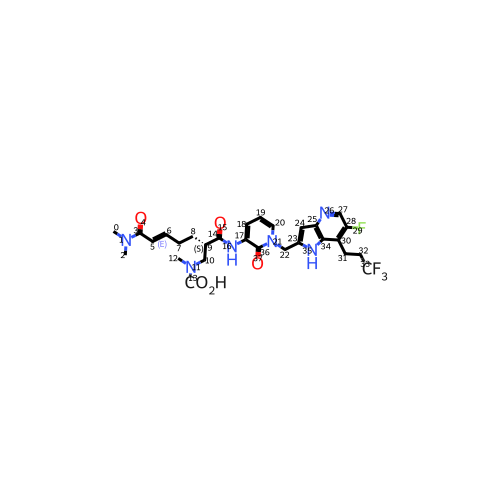 CN(C)C(=O)/C=C/CC[C@@H](CN(C)C(=O)O)C(=O)Nc1cccn(Cc2cc3ncc(F)c(CCC(F)(F)F)c3[nH]2)c1=O